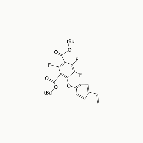 C=Cc1ccc(Oc2c(F)c(F)c(C(=O)OC(C)(C)C)c(F)c2C(=O)OC(C)(C)C)cc1